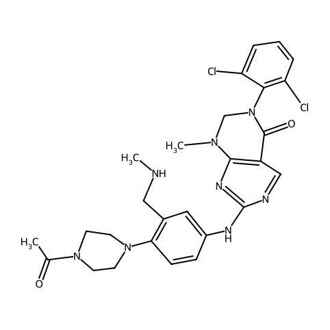 CNCc1cc(Nc2ncc3c(n2)N(C)CN(c2c(Cl)cccc2Cl)C3=O)ccc1N1CCN(C(C)=O)CC1